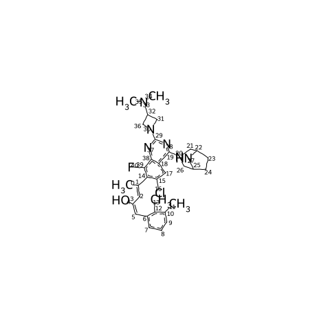 C/C(=C\C(O)=C/c1cccc(C)c1C)c1c(Cl)cc2c(N3CC4CCC(C3)N4)nc(N3CC(N(C)C)C3)nc2c1F